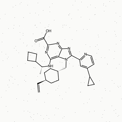 C=C[C@H]1CC[C@H](Cn2c(-c3cc(C4CC4)ccn3)nc3nc(C(=O)O)nc(N[C@H](C)C4CCC4)c32)CC1